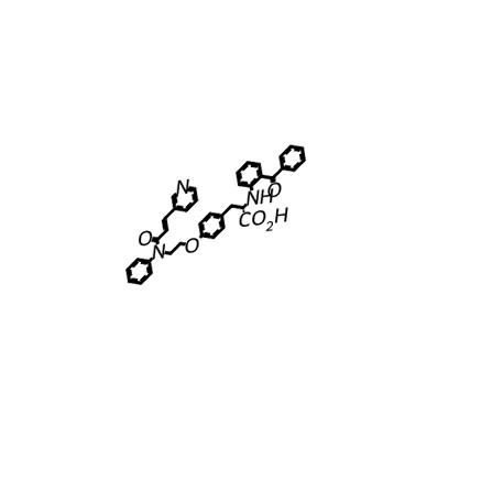 O=C(c1ccccc1)c1ccccc1N[C@@H](Cc1ccc(OCCN(C(=O)/C=C/c2cccnc2)c2ccccc2)cc1)C(=O)O